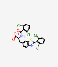 O=C(NC(Cc1ccc2nc(-c3c(Cl)cccc3Cl)sc2c1)C(=O)O)c1c(Cl)cccc1Cl